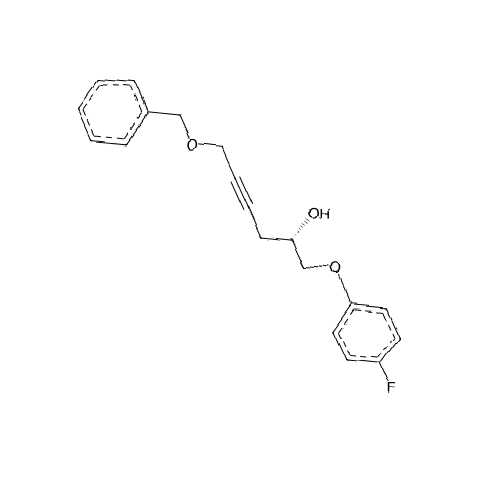 O[C@@H](CC#CCOCc1ccccc1)COc1ccc(F)cc1